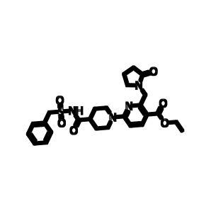 CCOC(=O)c1ccc(N2CCC(C(=O)NS(=O)(=O)Cc3ccccc3)CC2)nc1CN1CCCC1=O